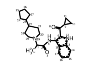 CC(C(=O)Nc1c(C(=O)C2CC2)[nH]c2ccccc12)N1CCC(C2CCCC2)CC1